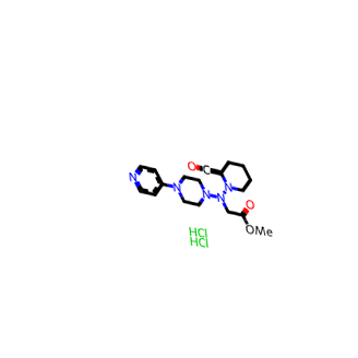 COC(=O)CN(N1CCN(c2ccncc2)CC1)N1CCCCC1=C=O.Cl.Cl